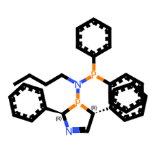 CCCCN(P(c1ccccc1)c1ccccc1)P1[C@H](c2ccccc2)C=N[C@H]1c1ccccc1